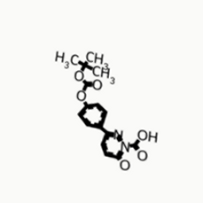 CC(C)(C)OC(=O)Oc1ccc(-c2ccc(=O)n(C(=O)O)n2)cc1